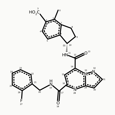 Cc1c(C(=O)O)ccc2c1CC[C@@H]2NC(=O)c1cc(C(=O)NCc2ccccc2F)nc2ccnn12